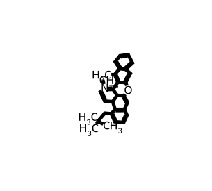 Cc1c2c(cc3ccccc13)OC1=Cc3cccc(CC(C)(C)C)c3C3C=C[N+](C)=C2C13